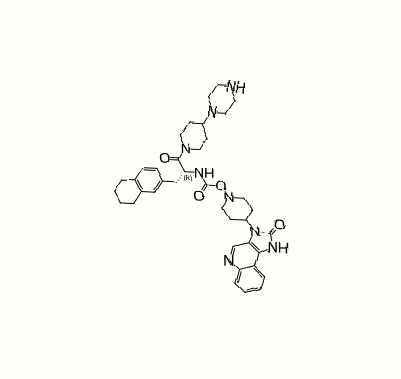 O=C(N[C@H](Cc1ccc2c(c1)CCCC2)C(=O)N1CCC(N2CCNCC2)CC1)ON1CCC(n2c(=O)[nH]c3c4ccccc4ncc32)CC1